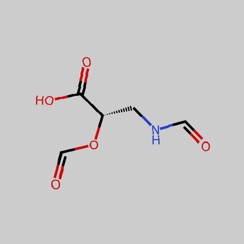 O=CNC[C@H](OC=O)C(=O)O